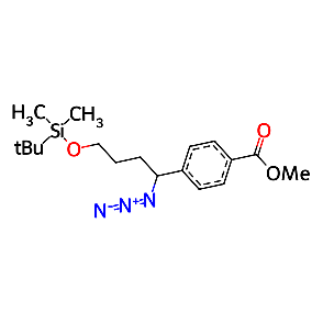 COC(=O)c1ccc(C(CCCO[Si](C)(C)C(C)(C)C)N=[N+]=[N-])cc1